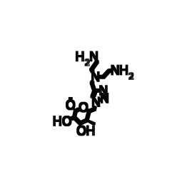 CO[C@H]1OC(Cn2cc(CN(CCN)CCN)nn2)[C@@H](C)[C@H](O)C1O